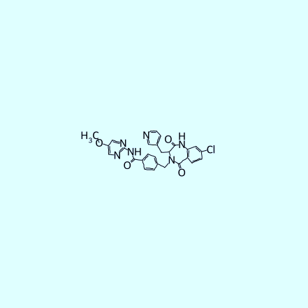 COc1cnc(NC(=O)c2ccc(CN3C(=O)c4ccc(Cl)cc4NC(=O)C3Cc3cccnc3)cc2)nc1